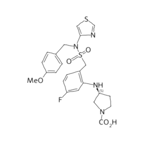 COc1ccc(CN(c2cscn2)S(=O)(=O)Cc2ccc(F)cc2N[C@H]2CCN(C(=O)O)C2)cc1